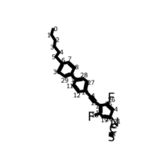 CCCCCCc1ccc(-c2ccc(C#Cc3c(F)cc(N=C=S)cc3F)cc2)cc1